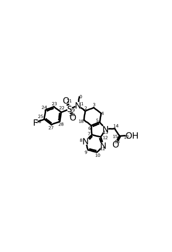 CN(C1CCc2c(c3nccnc3n2CC(=O)O)C1)S(=O)(=O)c1ccc(F)cc1